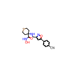 N#Cc1ccc(-c2cc(CNC3(C(=O)NO)CCSCC3)no2)cc1